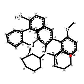 COc1cccc(OC)c1-c1ccc[c]([Pd]([Cl])[c]2ccccc2-c2ccccc2N)c1P(C1CCCCC1)C1CCCCC1